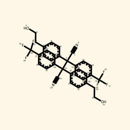 N#CC(c1ccc(CCO)cc1)(c1ccc(C(F)(F)F)cc1)C(C#N)(c1ccc(CCO)cc1)c1ccc(C(F)(F)F)cc1